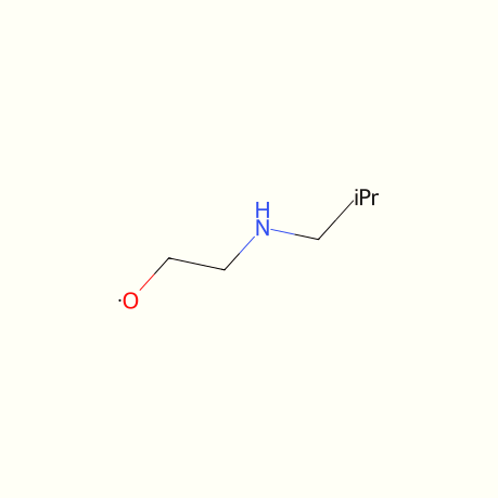 CC(C)CNCC[O]